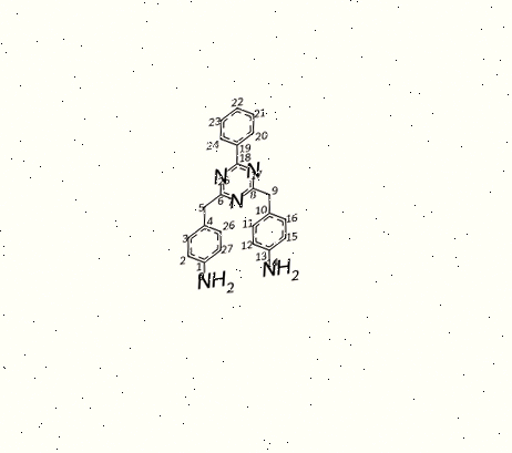 Nc1ccc(Cc2nc(Cc3ccc(N)cc3)nc(-c3ccccc3)n2)cc1